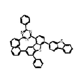 c1ccc(-c2cc(-c3ccccc3)c3sc4c(-c5ccc6c(c5)sc5ccccc56)ccc(-c5nc(-c6ccccc6)nc(-c6ccccc6)n5)c4c3c2)cc1